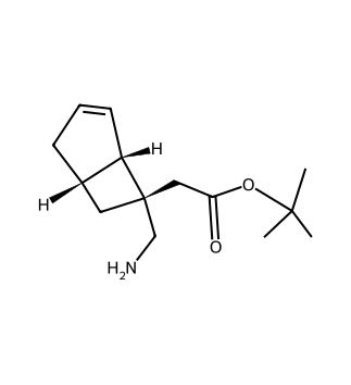 CC(C)(C)OC(=O)C[C@@]1(CN)C[C@@H]2CC=C[C@@H]21